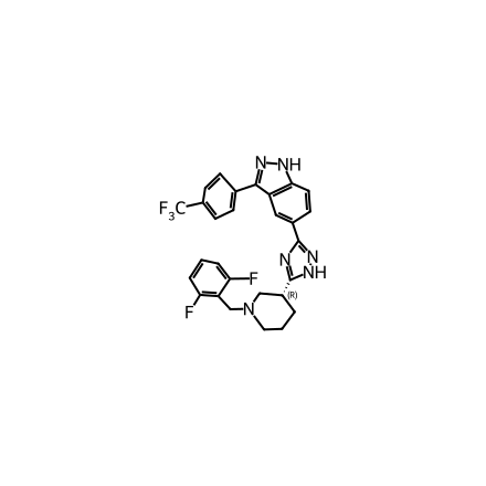 Fc1cccc(F)c1CN1CCC[C@@H](c2nc(-c3ccc4[nH]nc(-c5ccc(C(F)(F)F)cc5)c4c3)n[nH]2)C1